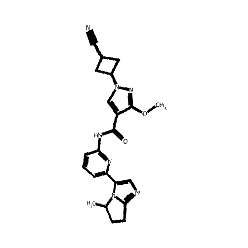 COc1nn(C2CC(C#N)C2)cc1C(=O)Nc1cccc(-c2cnc3n2C(C)CC3)n1